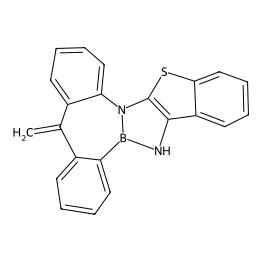 C=C1c2ccccc2B2Nc3c(sc4ccccc34)N2c2ccccc21